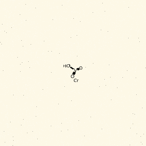 [Cr].[O]=[V](=[O])[OH]